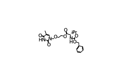 Cc1cn(COCCOC(=O)[C@@H](NC(=O)OCc2ccccc2)C(C)C)c(=O)[nH]c1=O